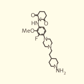 COc1c(NN2C(=O)CCCC2=O)ccc(N2CCN(CCC3CCN(N)CC3)CC2)c1F